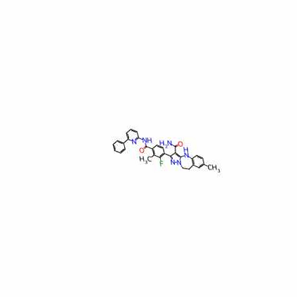 Cc1ccc2c(c1)CCn1nc(-c3ccc(C(=O)Nc4cccc(-c5ccccc5)n4)c(C)c3F)c(C(N)=O)c1N2